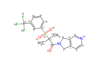 CC(C)(C(=O)N1Cc2ccncc2C1)S(=O)(=O)c1cccc(C(F)(F)F)c1